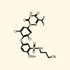 COc1ccc(Oc2c(Cl)cc(-n3nc(C(F)F)c(=O)[nH]c3=O)cc2Cl)cc1S(=O)(=O)NCCCC#N